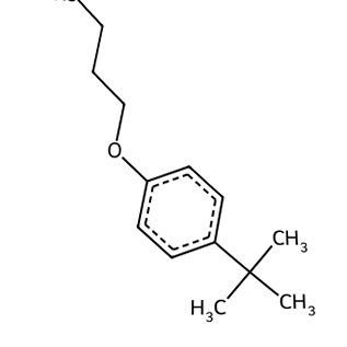 CC(C)(C)c1ccc(OCCCS)cc1